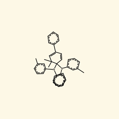 Cc1cccc(N(c2ccccc2)C2(N(c3ccccc3)c3cccc(C)c3)C=CC(c3ccccc3)=CC2(C)C)c1